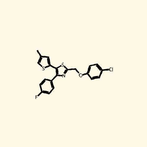 Cc1csc(-c2sc(COc3ccc(Cl)cc3)nc2-c2ccc(F)cc2)c1